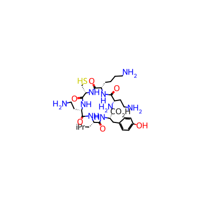 CC(C)C[C@H](NC(=O)[C@H](CCN)NC(=O)[C@H](CS)NC(=O)[C@H](CCCCN)NC(=O)[C@@H](N)CCN)C(=O)N[C@@H](Cc1ccc(O)cc1)C(=O)O